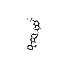 Cc1ccc2nc(Cn3ccc4cc(-c5ccccc5F)nc-4c3)sc2c1